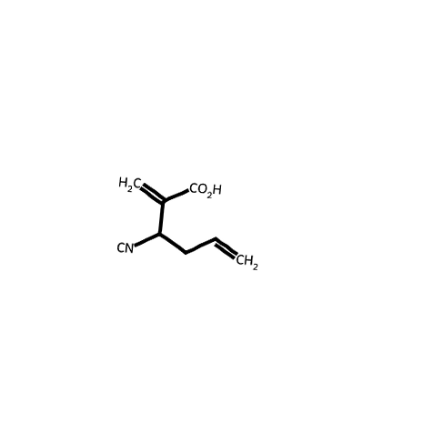 [C-]#[N+]C(CC=C)C(=C)C(=O)O